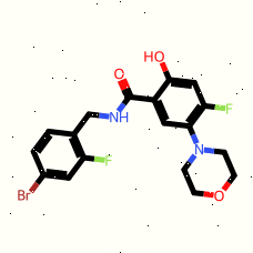 O=C(NCc1ccc(Br)cc1F)c1cc(N2CCOCC2)c(F)cc1O